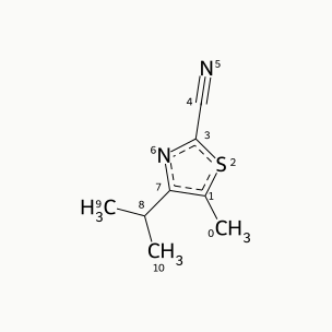 Cc1sc(C#N)nc1C(C)C